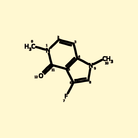 Cn1ccc2c(c(F)cn2C)c1=O